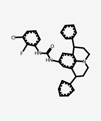 O=C(Nc1cc2c3c(c1)C(c1ccccc1)CCN3CCC2c1ccccc1)Nc1cccc(Cl)c1F